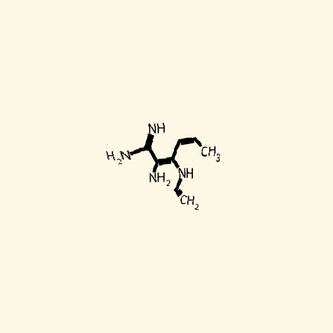 C=CNC(/C=C\C)=C(\N)C(=N)N